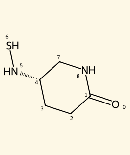 O=C1CC[C@H](NS)CN1